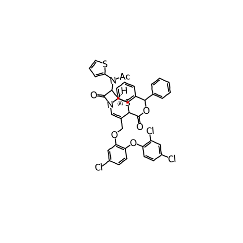 CC(=O)N(c1cccs1)C1C(=O)N2C=C(COc3cc(Cl)ccc3Oc3ccc(Cl)cc3Cl)C(C(=O)OC(c3ccccc3)c3ccccc3)S[C@H]12